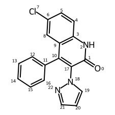 O=c1[nH]c2ccc(Cl)cc2c(-c2ccccc2)c1-n1cccn1